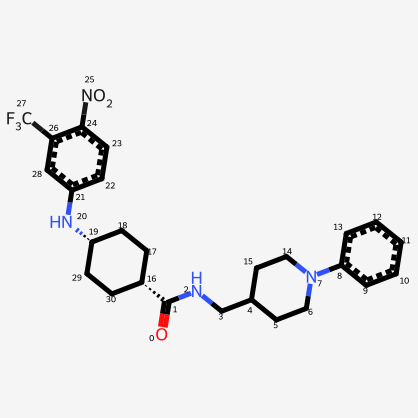 O=C(NCC1CCN(c2ccccc2)CC1)[C@H]1CC[C@@H](Nc2ccc([N+](=O)[O-])c(C(F)(F)F)c2)CC1